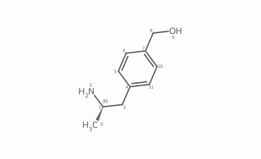 C[C@@H](N)Cc1ccc(CO)cc1